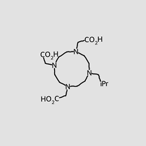 CC(C)CN1CCN(CC(=O)O)CCN(CC(=O)O)CCN(CC(=O)O)CC1